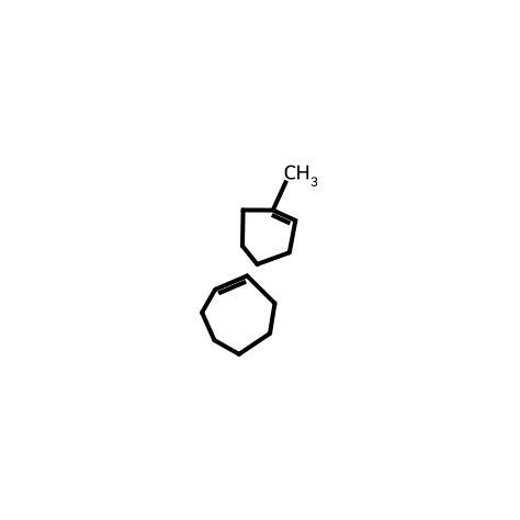 C1=CCCCCC1.CC1=CCCCC1